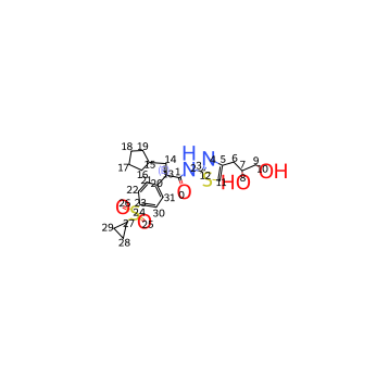 O=C(Nc1nc(CC(O)CO)cs1)/C(=C/C1CCCC1)c1ccc(S(=O)(=O)C2CC2)cc1